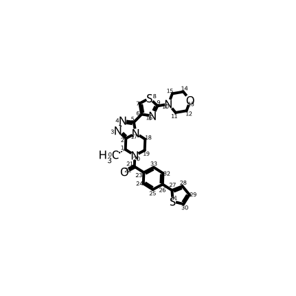 C[C@@H]1c2nnc(-c3csc(N4CCOCC4)n3)n2CCN1C(=O)c1ccc(-c2cccs2)cc1